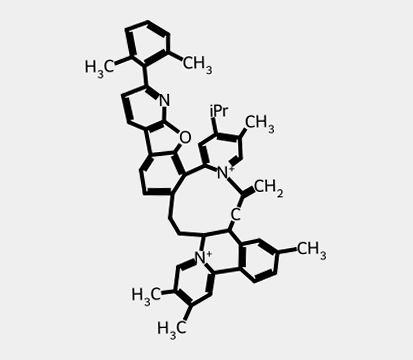 C=C1CC2c3cc(C)ccc3-c3cc(C)c(C)c[n+]3C2CCc2ccc3c(oc4nc(-c5c(C)cccc5C)ccc43)c2-c2cc(C(C)C)c(C)c[n+]21